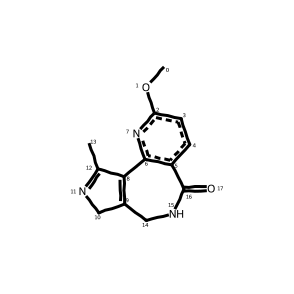 COc1ccc2c(n1)C1=C(CN=C1C)CNC2=O